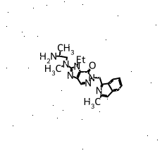 CCn1c(N(C)CC(C)N)nc2cnn(Cc3nc(C)cc4ccccc34)c(=O)c21